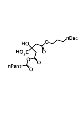 CCCCCCCCCCCCCOC(=O)CC(O)(CC(=O)OC(=O)CCCCC)C(=O)O